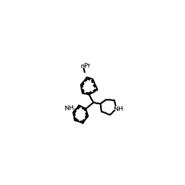 CCCC.N.c1ccc(C(c2ccccc2)C2CCNCC2)cc1